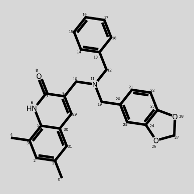 Cc1cc(C)c2[nH]c(=O)c(CN(Cc3ccccc3)Cc3ccc4c(c3)OCO4)cc2c1